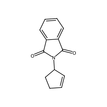 O=C1c2ccccc2C(=O)N1C1C=CCC1